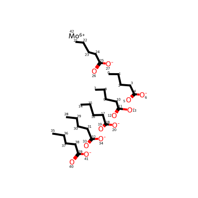 CCCCC(=O)[O-].CCCCC(=O)[O-].CCCCC(=O)[O-].CCCCC(=O)[O-].CCCCC(=O)[O-].CCCCC(=O)[O-].[Mo+6]